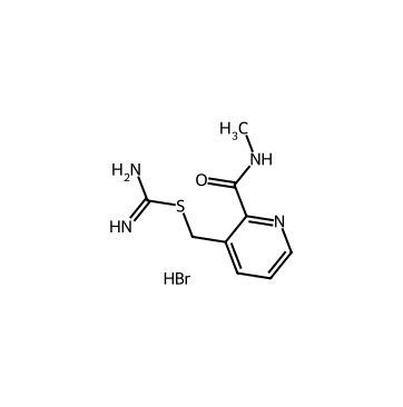 Br.CNC(=O)c1ncccc1CSC(=N)N